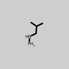 CC(C)CNP